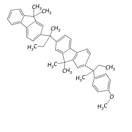 CCC(C)(c1ccc(OC)cc1)c1ccc2c(c1)C(C)(C)c1cc(C(C)(CC)c3ccc4c(c3)C(C)(C)c3ccccc3-4)ccc1-2